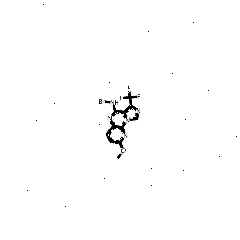 COc1ccc2nc(NBr)c3c(C(F)(F)F)ncn3c2n1